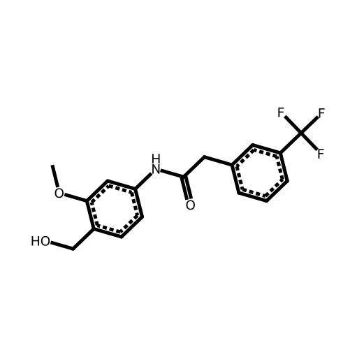 COc1cc(NC(=O)Cc2cccc(C(F)(F)F)c2)ccc1CO